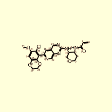 C=CC(=O)N[C@H]1CCOC[C@H]1Nc1ncc2cc(-c3c(Cl)c(OC)cc4c3OCCO4)ncc2n1